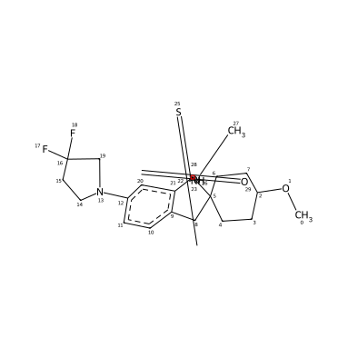 COC1CCC2(CC1)Cc1ccc(N3CCC(F)(F)C3)cc1C21NC(=S)N(C)C1=O